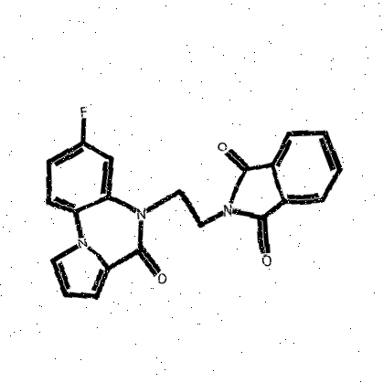 O=C1c2ccccc2C(=O)N1CCn1c(=O)c2cccn2c2ccc(F)cc21